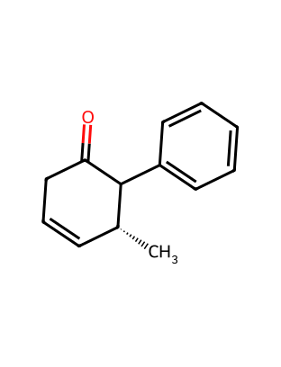 C[C@@H]1C=CCC(=O)C1c1ccccc1